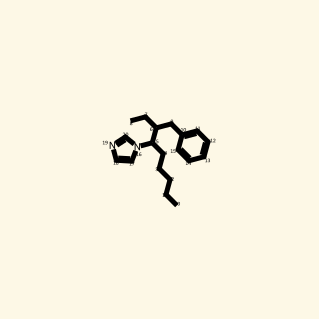 CCCCCC(C(CC)Cc1ccccc1)n1ccnc1